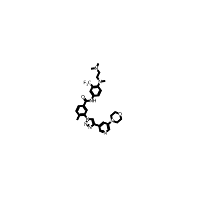 Cc1ccc(C(=O)Nc2ccc(N(C)CCN(C)C)c(C(F)(F)F)c2)cc1-n1cc(-c2cncc(N3CCOCC3)c2)nn1